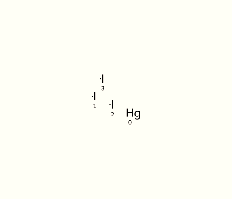 [Hg].[I].[I].[I]